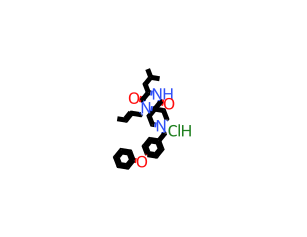 CC=CCN1C(=O)C(CC(C)C)NC(=O)C12CCN(Cc1ccc(Oc3ccccc3)cc1)CC2.Cl